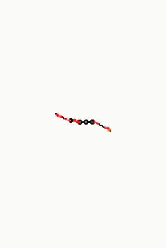 C=C(F)C(=O)OCCCCCCOc1ccc(-c2ccc(-c3ccc(OC(=O)c4ccc(OCCCCOC(=O)CC)cc4)cc3)cc2)cc1